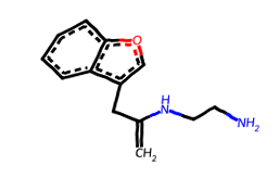 C=C(Cc1coc2ccccc12)NCCN